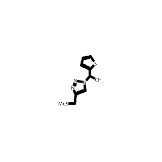 CSCc1cn(C(C)c2cccs2)nn1